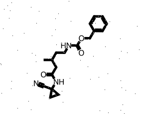 CC(CCNC(=O)OCc1ccccc1)CC(=O)NC1(C#N)CC1